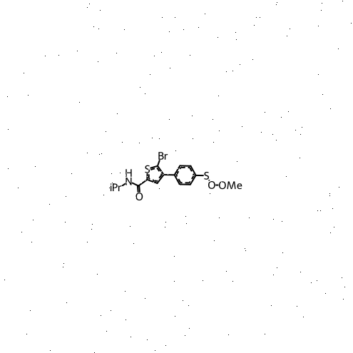 COOSc1ccc(-c2cc(C(=O)NC(C)C)sc2Br)cc1